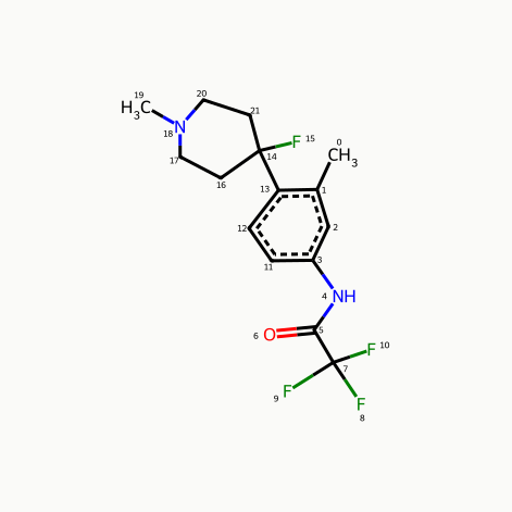 Cc1cc(NC(=O)C(F)(F)F)ccc1C1(F)CCN(C)CC1